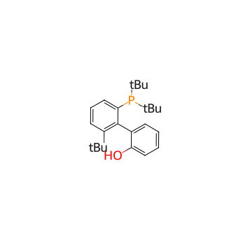 CC(C)(C)c1cccc(P(C(C)(C)C)C(C)(C)C)c1-c1ccccc1O